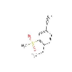 C#Cc1ccc(CC)c(S(C)(=O)=O)c1